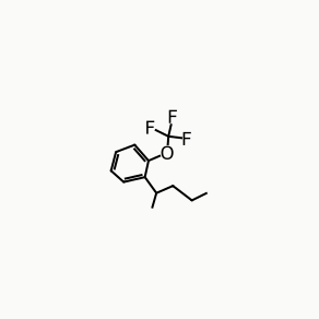 CCCC(C)c1ccccc1OC(F)(F)F